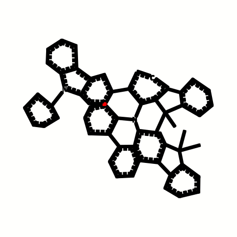 CC1(C)c2ccccc2-c2ccc(N(c3ccccc3-c3ccccc3)c3c(-c4ccc5c(c4)c4ccccc4n5-c4ccccc4)ccc4c3C(C)(C)c3ccccc3-4)cc21